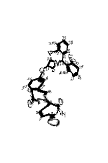 O=C1CCC(N2Cc3cc(OC4CN(C(c5ccccc5F)c5ccccc5F)C4)ccc3C2=O)C(=O)N1